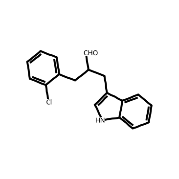 O=CC(Cc1ccccc1Cl)Cc1c[nH]c2ccccc12